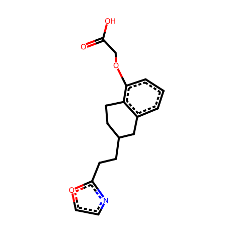 O=C(O)COc1cccc2c1CCC(CCc1ncco1)C2